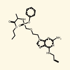 C=CCNc1nc(N)nc2c1ncn2CCOCP(=O)(NC(C)C(=O)OCCC)Oc1ccccc1